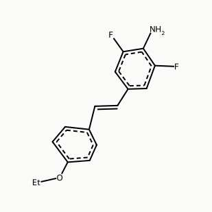 CCOc1ccc(C=Cc2cc(F)c(N)c(F)c2)cc1